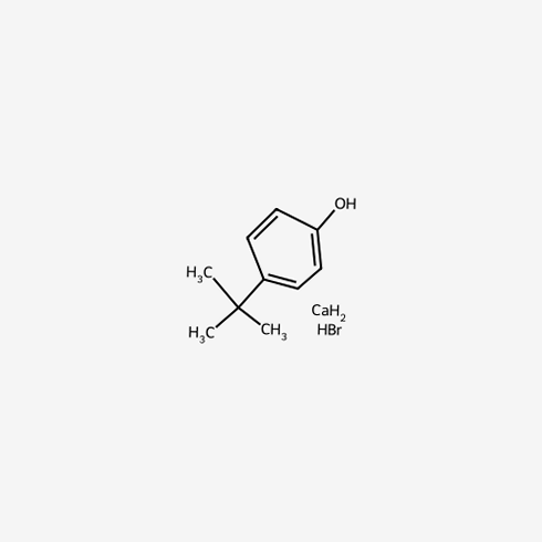 Br.CC(C)(C)c1ccc(O)cc1.[CaH2]